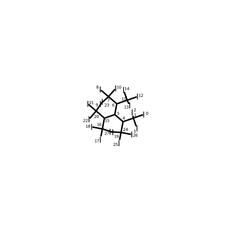 IC(I)(I)C(C(C(C(I)(I)I)C(I)(I)I)C(C(I)(I)I)C(I)(I)I)C(I)(I)I